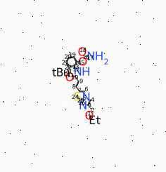 CCOCc1cn2cc(C=CC(=O)Nc3c(OC(N)=O)cccc3C(C)(C)C)sc2n1